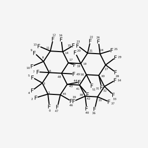 FC1(F)C(F)(F)C2(F)C(F)(F)C(F)(F)C(F)(F)C3(F)C4(F)C(F)(F)C(F)(F)C(F)(F)C5(F)C(F)(F)C(F)(F)C(F)(F)C(F)(C(F)(C1(F)F)C23F)C54F